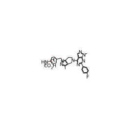 Cc1nn(CC23CCC(NC(=O)O)(CC2)CC3)c2c1CN(c1nc(-c3ccc(F)cc3)nc3c1cnn3C)CC2